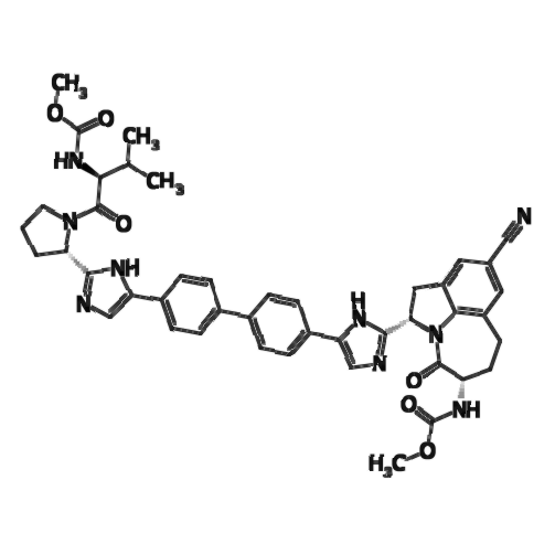 COC(=O)N[C@H]1CCc2cc(C#N)cc3c2N(C1=O)[C@H](c1ncc(-c2ccc(-c4ccc(-c5cnc([C@@H]6CCCN6C(=O)[C@@H](NC(=O)OC)C(C)C)[nH]5)cc4)cc2)[nH]1)C3